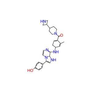 CC1=CC(NC2=NC=CN3C(c4ccc(O)cc4)=CNC23)CC=C1C(=O)N1CCC(C2CNC2)CC1